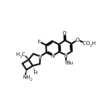 CC(C)(C)n1cc(OC(=O)O)c(=O)c2cc(F)c(N3C[C@H]4[C@@H](N)C[C@]4(C)C3)nc21